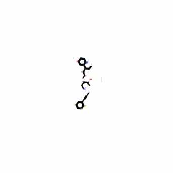 COc1ccc2nccc([C@@H](F)CC[C@@H]3CCN(CC#Cc4cc(F)cc(F)c4F)C[C@@H]3C(=O)O)c2c1